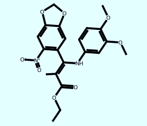 CCOC(=O)/C(C)=C(\Nc1ccc(OC)c(OC)c1)c1cc2c(cc1[N+](=O)[O-])OCO2